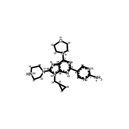 Nc1ncc(-c2nc(N3CCOCC3)c3nc(N4CCNCC4)n(CC4CC4)c3n2)cn1